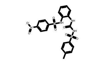 Cc1ccc(S(=O)(=O)NC(=O)Nc2ccccc2NS(=O)(=O)c2ccc([N+](=O)[O-])cc2)cc1